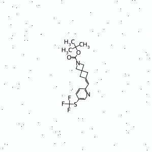 CC(C)(C)OC(=O)N1CC2(CC(=Cc3ccc(SC(F)(F)F)cn3)C2)C1